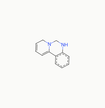 C1=CCN2CNc3ccccc3C2=C1